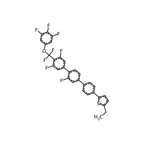 CCc1ccc(-c2ccc(-c3ccc(-c4cc(F)c(C(F)(F)Oc5cc(F)c(F)c(F)c5)c(F)c4)c(F)c3)cc2)s1